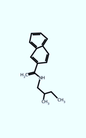 C=C(NCC(C)CC)c1ccc2ccccc2c1